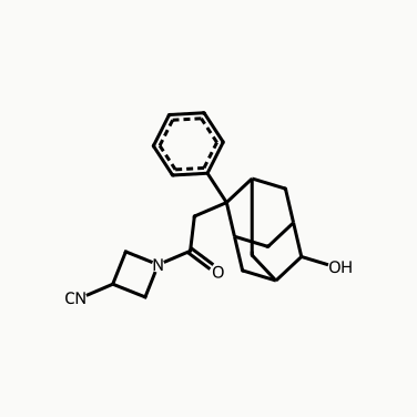 [C-]#[N+]C1CN(C(=O)CC2(c3ccccc3)C3CC4CC2CC(C3)C4O)C1